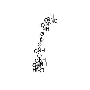 CC1(C)N[C@@H](C(=O)N[C@H]2CC[C@H](C(=O)NCCOCCOCCOCCNc3cccc4c3CN(C3CCC(=O)NC3=O)C4=O)CC2)[C@H](c2ccccc2)[C@]12C(=O)Nc1ccccc12